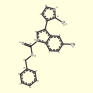 N#Cc1ccc2c(c1)c(-c1ccsc1C(F)(F)F)cn2C(=O)OCc1ccccc1